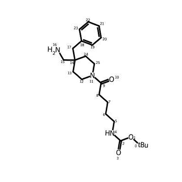 CC(C)(C)OC(=O)NCCCCC(=O)N1CCC(CN)(Cc2ccccc2)CC1